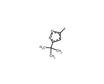 CC(C)(C)c1cc(I)on1